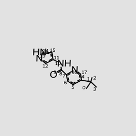 CC(C)(C)c1ccc(C(=O)Nc2cn[nH]c2)nc1